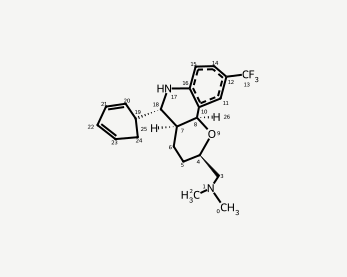 CN(C)C[C@H]1CC[C@@H]2[C@H](O1)c1cc(C(F)(F)F)ccc1N[C@H]2C1C=CC=CC1